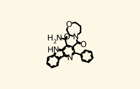 NC(=O)c1c(C(=O)N2CCCOCC2)c(-c2ccccc2)nc2c1[nH]c1ccccc12